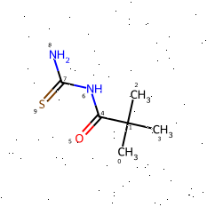 CC(C)(C)C(=O)NC(N)=S